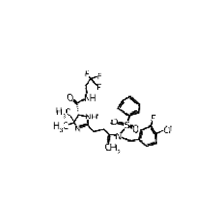 C=C(CCC1=NC(C)(C)[C@H](C(=O)NCC(F)(F)F)N1)N(Cc1ccc(Cl)c(F)c1)S(=O)(=O)c1ccccc1